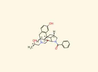 C[C@@H](O)CN1CC[C@@]23c4cc(O)ccc4C[C@@H]1[C@]21CCC2C3[C@@H](CN2C(=O)c2ccccc2)C1